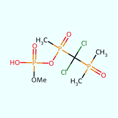 COP(=O)(O)OP(C)(=O)C(Cl)(Cl)P(C)(C)=O